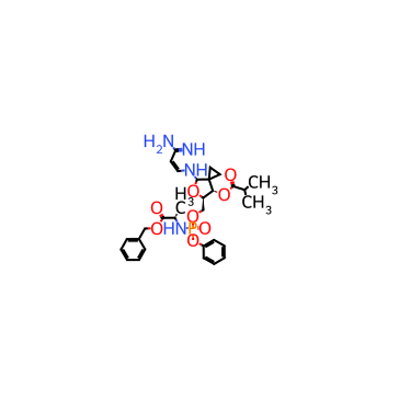 CC(C)C(=O)O[C@@H]1[C@@H](COP(=O)(N[C@@H](C)C(=O)OCc2ccccc2)Oc2ccccc2)O[C@@H](N/C=C\C(=N)N)C12CC2